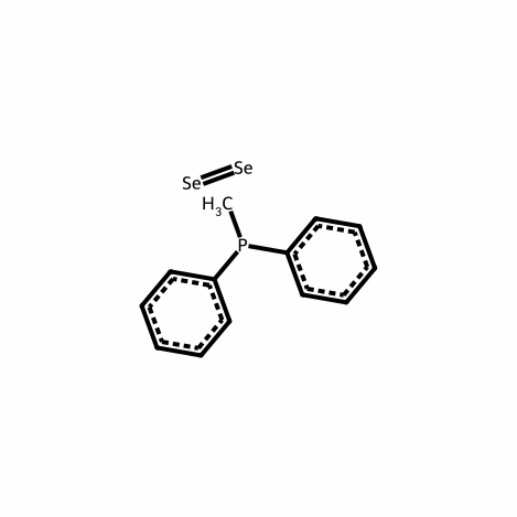 CP(c1ccccc1)c1ccccc1.[Se]=[Se]